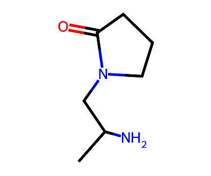 CC(N)CN1CCCC1=O